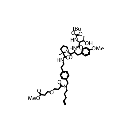 C=CCCCN(Cc1ccc(CCNC(=O)[C@]2(C)CCCN2C(=O)C(Cc2ccc(OC)cc2)NC(=O)[C@@H](NC(=O)OC(C)(C)C)[C@@H](C)O)cc1)C(=O)CCOCCC(=O)OC